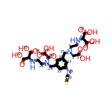 O=C(O)CN(CCNC(C(=O)O)C(=O)O)Cc1cc(N=C=S)cc(CN(CCNC(C(=O)O)C(=O)O)CC(=O)O)c1O